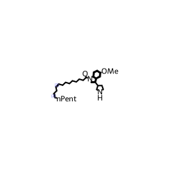 CCCCC/C=C\C/C=C\CCCCCCCC(=O)n1cc(C2CCNC2)c2cc(OC)ccc21